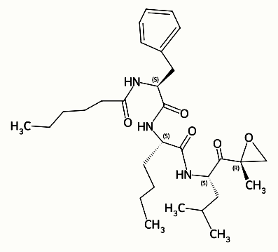 CCCCCC(=O)N[C@@H](Cc1ccccc1)C(=O)N[C@@H](CCCC)C(=O)N[C@@H](CC(C)C)C(=O)[C@@]1(C)CO1